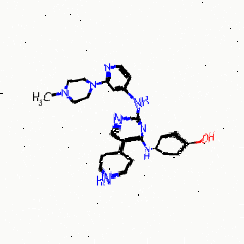 CN1CCN(c2cc(Nc3ncc(C4CCNCC4)c(N[C@H]4CC[C@H](O)CC4)n3)ccn2)CC1